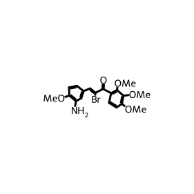 COc1ccc(C=C(Br)C(=O)c2ccc(OC)c(OC)c2OC)cc1N